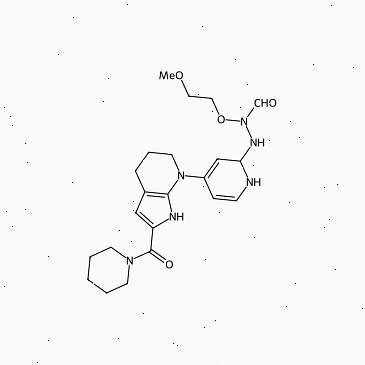 COCCON(C=O)NC1C=C(N2CCCc3cc(C(=O)N4CCCCC4)[nH]c32)C=CN1